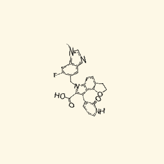 Cn1cnc2cc(Cn3c(C(=O)O)c(-c4ccc[nH]c4=O)c4c5c(ccc43)CCO5)c(F)cc21